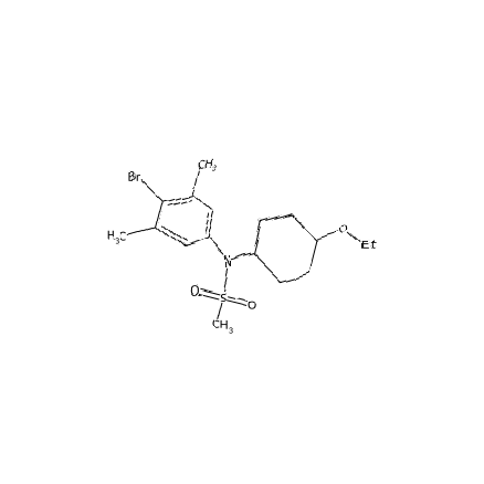 CCOC1CCC(N(c2cc(C)c(Br)c(C)c2)S(C)(=O)=O)CC1